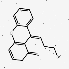 O=C1CC=CC2=C1C(=CCCBr)c1ccccc1O2